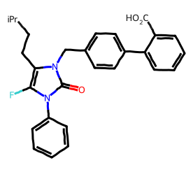 CC(C)CCc1c(F)n(-c2ccccc2)c(=O)n1Cc1ccc(-c2ccccc2C(=O)O)cc1